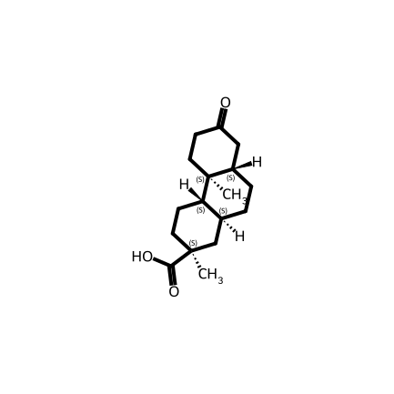 C[C@]1(C(=O)O)CC[C@H]2[C@@H](CC[C@H]3CC(=O)CC[C@@]32C)C1